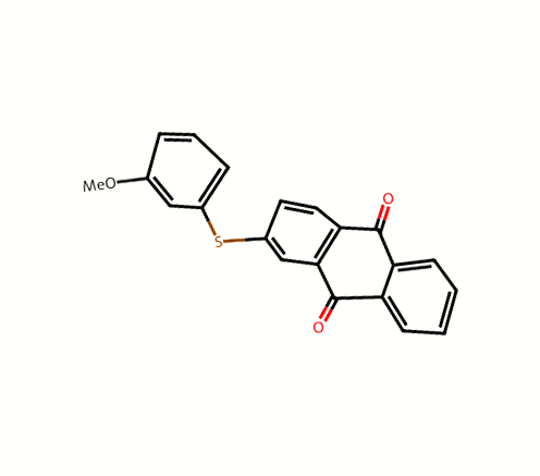 COc1cccc(Sc2ccc3c(c2)C(=O)c2ccccc2C3=O)c1